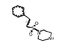 O=S(=O)(/C=C/c1ccccc1)N1CCNCC1